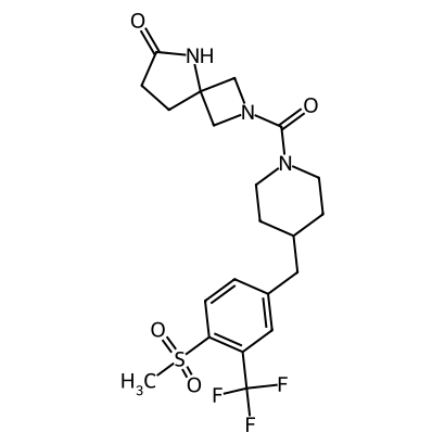 CS(=O)(=O)c1ccc(CC2CCN(C(=O)N3CC4(CCC(=O)N4)C3)CC2)cc1C(F)(F)F